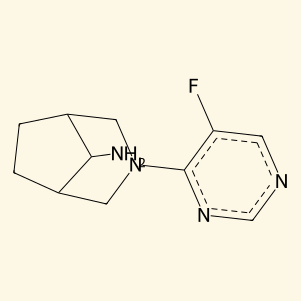 NC1C2CCC1CN(c1ncncc1F)C2